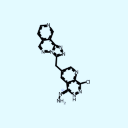 N/N=c1\[nH]nc(Cl)c2ncc(Cc3nnc4c5cnccc5cnn34)cc12